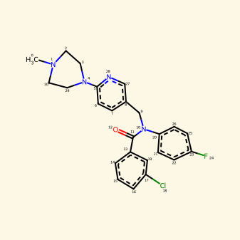 CN1CCN(c2ccc(CN(C(=O)c3cccc(Cl)c3)c3ccc(F)cc3)cn2)CC1